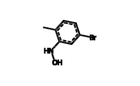 Cc1ccc(Br)cc1NO